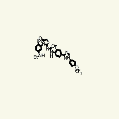 CCNc1ccc(C(C)C)c(N2C(=O)CS/C2=N\C(=O)Nc2ccc(-c3ncn(-c4ccc(OC(F)(F)F)cc4)n3)cc2F)c1